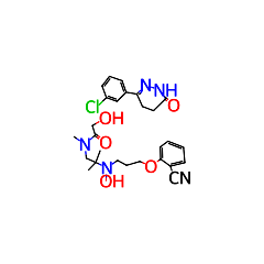 CN(CC(C)(C)N(O)CCCOc1ccccc1C#N)C(=O)CO.O=C1CCC(c2cccc(Cl)c2)=NN1